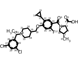 C[C@@H]1C[C@@H](C(=O)O)N(C(=O)c2cc(C3CC3)c(OCC3CCN([C@@H](C)c4cc(Cl)cc(Cl)c4)CC3)cc2F)C1